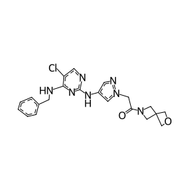 O=C(Cn1cc(Nc2ncc(Cl)c(NCc3ccccc3)n2)cn1)N1CC2(COC2)C1